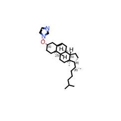 CC(C)CCC[C@@H](C)[C@H]1CC[C@H]2[C@@H]3CC=C4C[C@@H](On5ccnc5)CC[C@]4(C)[C@H]3CC[C@]12C